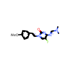 COc1ccc(/C=C/n2cc(F)c(/N=C/N(C)C)nc2=O)cc1